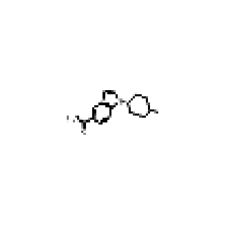 CC1CCC(n2ccc3cc(C(N)=O)ccc32)CC1